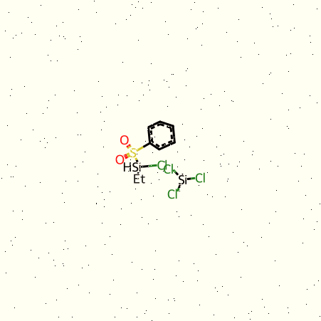 CC[SiH](Cl)S(=O)(=O)c1ccccc1.Cl[Si](Cl)Cl